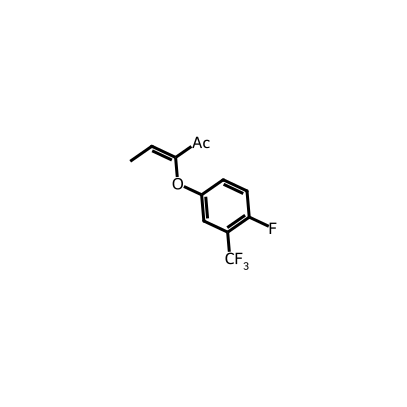 C/C=C(\Oc1ccc(F)c(C(F)(F)F)c1)C(C)=O